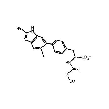 Cc1cc2nc(C(C)C)[nH]c2cc1-c1ccc(C[C@H](NC(=O)OC(C)(C)C)C(=O)O)cc1